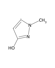 Cn1[c]cc(O)n1